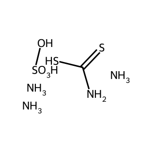 N.N.N.NC(=S)S.O=S(=O)(O)O